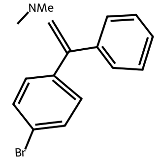 C=C(c1ccccc1)c1ccc(Br)cc1.CNC